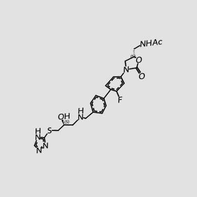 CC(=O)NC[C@H]1CN(c2ccc(-c3ccc(CNC[C@H](O)CSc4nnc[nH]4)cc3)c(F)c2)C(=O)O1